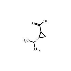 CC(C)[C@H]1CC1C(=O)O